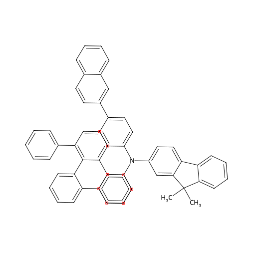 CC1(C)c2ccccc2-c2ccc(N(c3ccc(-c4ccc5ccccc5c4)cc3)c3ccccc3-c3cccc(-c4ccccc4)c3-c3ccccc3-c3ccccc3)cc21